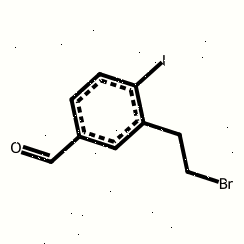 O=Cc1ccc(I)c(CCBr)c1